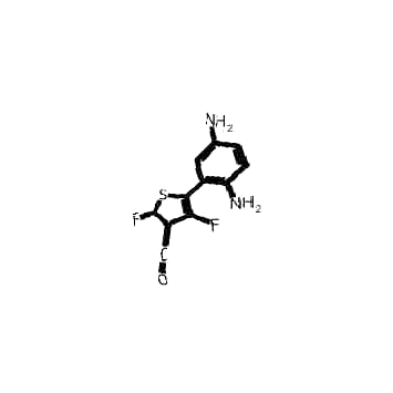 Nc1ccc(N)c(C2=C(F)C(=C=O)C(F)S2)c1